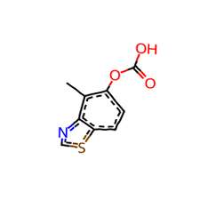 Cc1c(OC(=O)O)ccc2scnc12